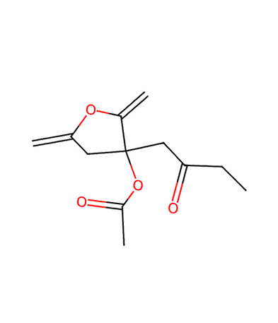 C=C1CC(CC(=O)CC)(OC(C)=O)C(=C)O1